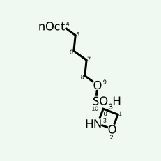 C1CON1.CCCCCCCCCCCCOS(=O)(=O)O